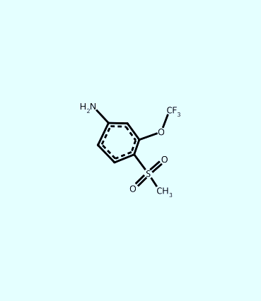 CS(=O)(=O)c1ccc(N)cc1OC(F)(F)F